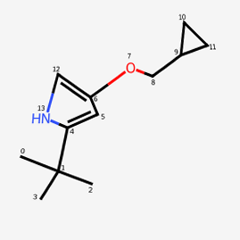 CC(C)(C)c1cc(OCC2CC2)c[nH]1